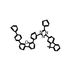 CC1(C)c2ccccc2-c2ccc(-c3nc(-c4ccccc4)nc(-c4cccc(-c5cccc6c5oc5c(-c7ccc(-c8ccccc8)cc7)cccc56)c4)n3)cc21